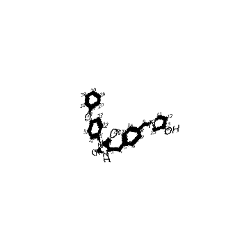 O=C1N/C(=C/c2ccc(CN3CCC(O)C3)cc2)C(=O)N1c1ccc(Oc2ccccc2)cc1